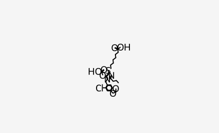 CCCc1nc(SCCCCCCCC(=O)O)c(OC(=O)O)n1Cc1cc2c(cc1Cl)OCO2